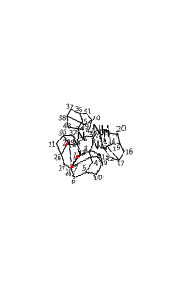 N=C(N(C12CC3CC(CC(C3)C1)C2)C12CC3CC(CC(C3)C1)C2)N(C12CC3CC(CC(C3)C1)C2)C12CC3CC(CC(C3)C1)C2